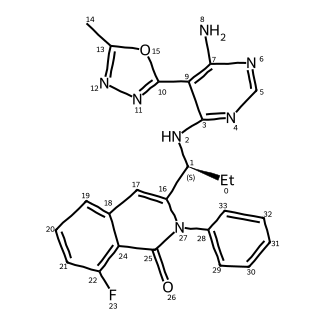 CC[C@H](Nc1ncnc(N)c1-c1nnc(C)o1)c1cc2cccc(F)c2c(=O)n1-c1ccccc1